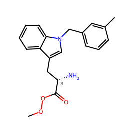 COOC(=O)[C@@H](N)Cc1cn(Cc2cccc(C)c2)c2ccccc12